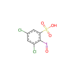 O=Ic1c(Cl)cc(Cl)cc1S(=O)(=O)O